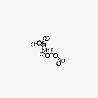 O=C(NCc1nn(C2CCCCO2)c2ccc(Cl)cc12)c1cccc(C(F)c2ccc(Cn3ccccc3=O)cc2)c1